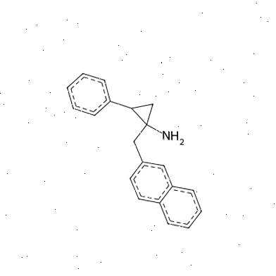 NC1(Cc2ccc3ccccc3c2)CC1c1ccccc1